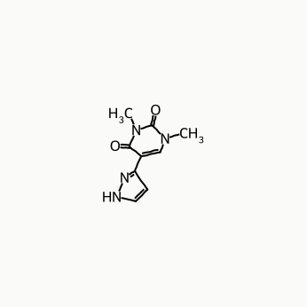 Cn1cc(-c2cc[nH]n2)c(=O)n(C)c1=O